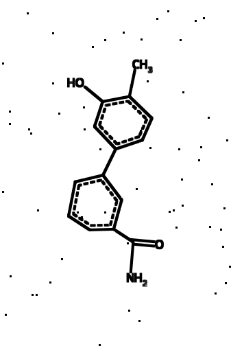 Cc1ccc(-c2cccc(C(N)=O)c2)cc1O